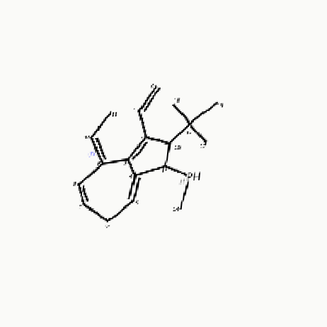 C=CC1=C2C(=CCC=C/C2=C/C)C(PC)C1C(C)(C)C